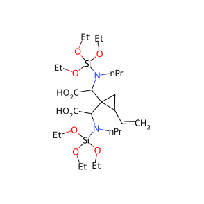 C=CC1CC1(C(C(=O)O)N(CCC)[Si](OCC)(OCC)OCC)C(C(=O)O)N(CCC)[Si](OCC)(OCC)OCC